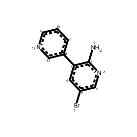 Nc1ncc(Br)cc1-c1cccnc1